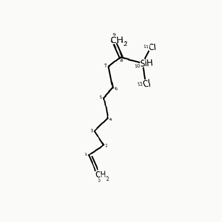 C=CCCCCCCC(=C)[SiH](Cl)Cl